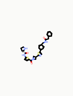 O=C(Cc1ccccc1)NCc1ccc(-c2cnc(C3CN(C(=O)c4ccc(NC(=O)[C@@H]5CCCN5)s4)C3)s2)cc1